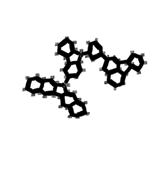 c1cc(-c2cc3c4c(cccc4c2)-c2ccccc2-3)cc(-n2c3ccccc3c3cc(-n4c5cc6ccccc6cc5c5cc6ccccc6cc54)ccc32)c1